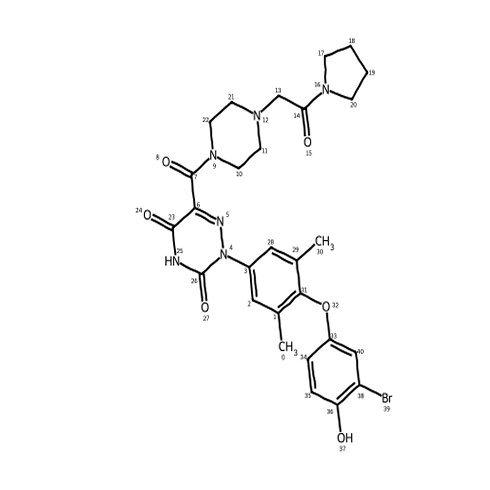 Cc1cc(-n2nc(C(=O)N3CCN(CC(=O)N4CCCC4)CC3)c(=O)[nH]c2=O)cc(C)c1Oc1ccc(O)c(Br)c1